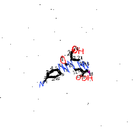 N#Cc1ccc(N=NC(=O)N2Cc3c(C(=O)O)c(I)nn3CC2CO)cc1